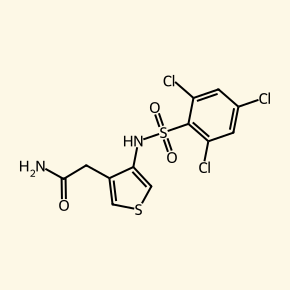 NC(=O)Cc1cscc1NS(=O)(=O)c1c(Cl)cc(Cl)cc1Cl